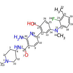 CCN1CCC(NC(=O)c2ccc(-c3cc(N(C)c4cccc(C)c4F)ccc3O)nc2N)CC1